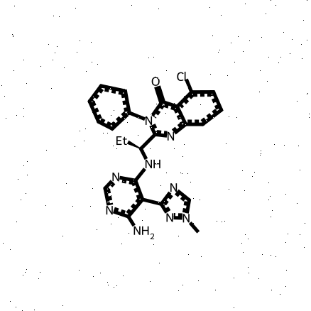 CC[C@H](Nc1ncnc(N)c1-c1ncn(C)n1)c1nc2cccc(Cl)c2c(=O)n1-c1ccccc1